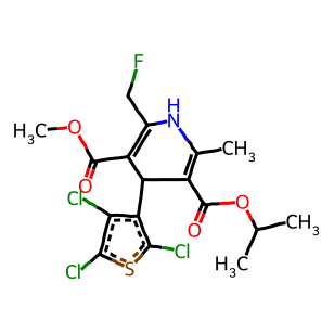 COC(=O)C1=C(CF)NC(C)=C(C(=O)OC(C)C)C1c1c(Cl)sc(Cl)c1Cl